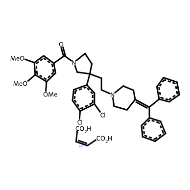 COc1cc(C(=O)N2CCC(CCN3CCC(=C(c4ccccc4)c4ccccc4)CC3)(c3ccc(Cl)c(Cl)c3)C2)cc(OC)c1OC.O=C(O)/C=C\C(=O)O